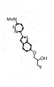 CNc1ccc(-c2cc3ccc(OCC(O)CF)cc3s2)nn1